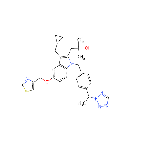 CC(c1ccc(Cn2c(CC(C)(C)O)c(CC3CC3)c3cc(OCc4cscn4)ccc32)cc1)n1ncnn1